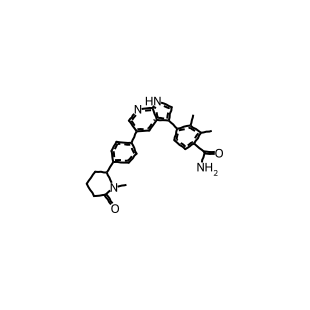 Cc1c(C(N)=O)ccc(-c2c[nH]c3ncc(-c4ccc(C5CCCC(=O)N5C)cc4)cc23)c1C